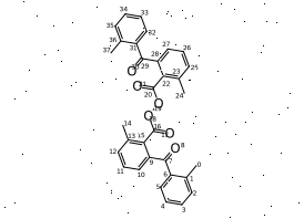 Cc1ccccc1C(=O)c1cccc(C)c1C(=O)OOC(=O)c1c(C)cccc1C(=O)c1ccccc1C